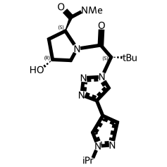 CNC(=O)[C@@H]1C[C@@H](O)CN1C(=O)[C@@H](n1cc(-c2cnn(C(C)C)c2)nn1)C(C)(C)C